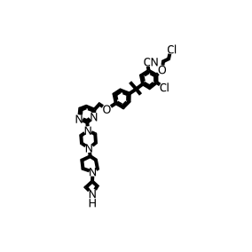 CC(C)(c1ccc(OCc2ccnc(N3CCN(C4CCN(C5CNC5)CC4)CC3)n2)cc1)c1cc(Cl)c(OCCCl)c(C#N)c1